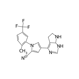 Cc1ccc(C(F)(F)F)cc1-n1cc(C2=C3CCNC3NC=N2)cc1C#N